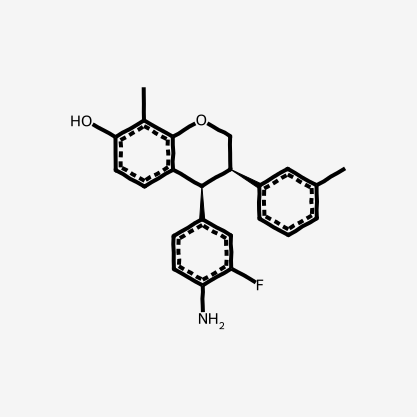 Cc1cccc([C@@H]2COc3c(ccc(O)c3C)[C@@H]2c2ccc(N)c(F)c2)c1